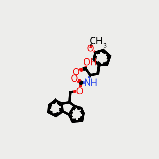 COc1cccc(CC(NC(=O)OCC2c3ccccc3-c3ccccc32)C(=O)O)c1